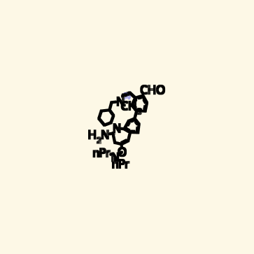 CCCN(CCC)OC1=Cc2ccc(-c3ccc(C=O)c(/C=C\N(C)CC4CCCCC4)c3)cc2N=C(N)C1